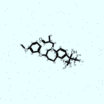 COc1cccc(OC2CCc3cc(C(O)(C(F)(F)F)C(F)(F)F)ccc3N(CC(C)C=O)C2)c1